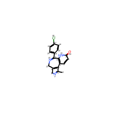 CC1=NCC2=C1c1ccc(=O)[nH]c1C(c1ccc(Cl)cc1)=NC2